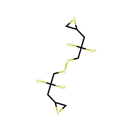 SC(S)(CSSCC(S)(S)CC1CS1)CC1CS1